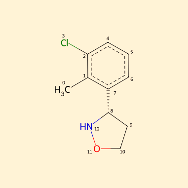 Cc1c(Cl)cccc1[C@@H]1CCON1